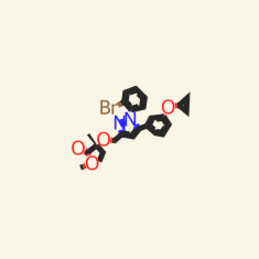 CC[C@@](C)(OCc1cc(-c2cccc(OC3CC3)c2)n(-c2ccccc2Br)n1)C(=O)OC